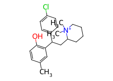 Cc1ccc(O)c(C(CC2CCCC[N+]2(C)C)c2ccc(Cl)cc2)c1